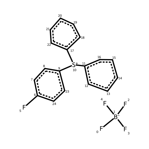 F[B-](F)(F)F.Fc1ccc([S+](c2ccccc2)c2ccccc2)cc1